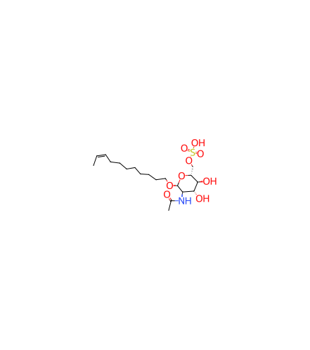 C/C=C\CCCCCCCCO[C@H]1O[C@H](COS(=O)(=O)O)[C@@H](O)[C@H](O)[C@H]1NC(C)=O